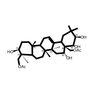 CC(=O)OC[C@@]12C(CC(C)(C)[C@@H](O)[C@@H]1O)C1=CCC3[C@@]4(C)CC[C@H](O)[C@](C)(COC(C)=O)C4CC[C@@]3(C)[C@]1(C)C[C@H]2O